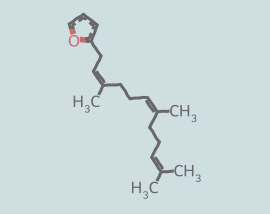 CC(C)=CCCC(C)=CCCC(C)=CCc1ccco1